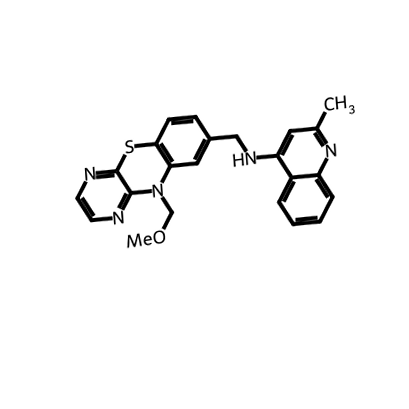 COCN1c2cc(CNc3cc(C)nc4ccccc34)ccc2Sc2nccnc21